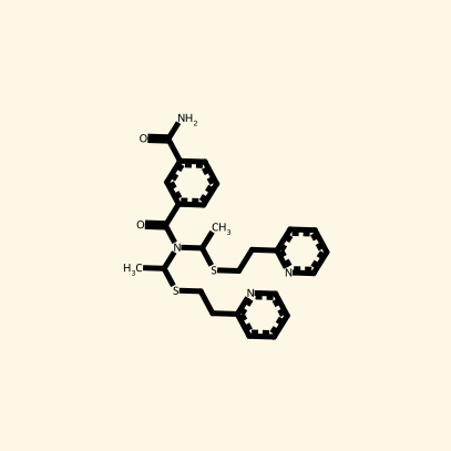 CC(SCCc1ccccn1)N(C(=O)c1cccc(C(N)=O)c1)C(C)SCCc1ccccn1